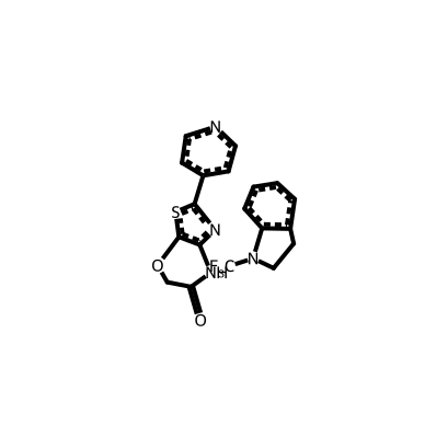 FC(F)(F)N1CCc2ccccc21.O=C1COc2sc(-c3ccncc3)nc2N1